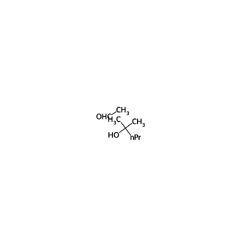 CC=O.CCCC(C)(C)O